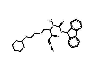 CN(C(=O)OC1c2ccccc2-c2ccccc21)C(COCCOC1CCCCO1)C(=O)C=[N+]=[N-]